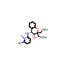 COCC1(COC)Oc2ccccc2[C@@H](Nc2cccc(C#N)[n+]2[O-])[C@@H]1O